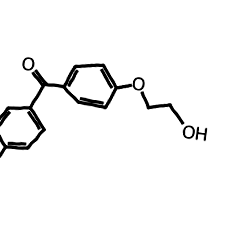 O=C(c1ccc(Cl)cc1)c1ccc(OCCO)cc1